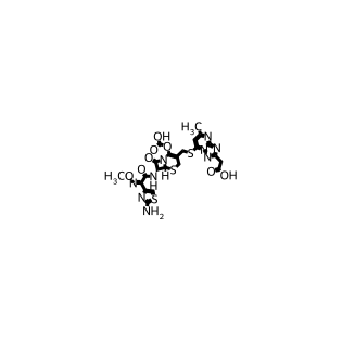 CO/N=C(\C(=O)N[C@@H]1C(=O)N2C(OC(=O)O)=C(CSc3cc(C)nc4nc(CC(=O)O)nn34)CS[C@H]12)c1csc(N)n1